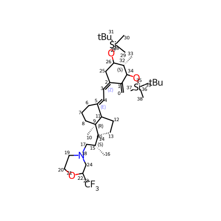 C=C1/C(=C\C=C2/CCC[C@@]3(C)C2CC[C@@H]3[C@H](C)CN2CCOC(C(F)(F)F)C2)CC(O[Si](C)(C)C(C)(C)C)[C@H](C)C1O[Si](C)(C)C(C)(C)C